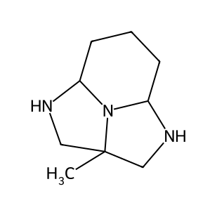 CC12CNC3CCCC(NC1)N32